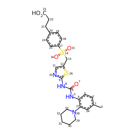 Cc1ccc(NC(=O)Nc2ncc(CS(=O)(=O)c3ccc(CCC(=O)O)cc3)s2)c(N2CCCCC2)c1